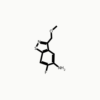 COCc1nsc2cc(F)c(N)cc12